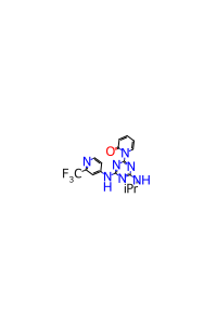 CC(C)Nc1nc(Nc2ccnc(C(F)(F)F)c2)nc(-n2ccccc2=O)n1